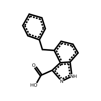 O=C(O)c1n[nH]c2cccc(Cc3ccccc3)c12